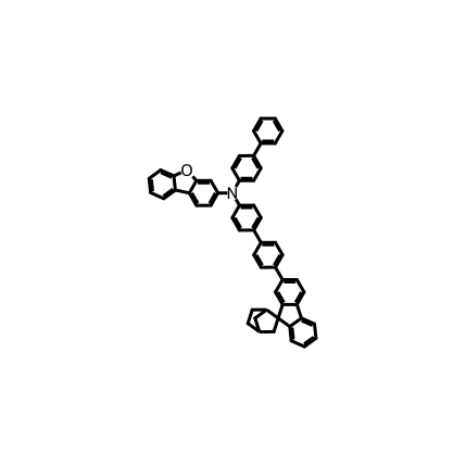 c1ccc(-c2ccc(N(c3ccc(-c4ccc(-c5ccc6c(c5)C5(CC7CCC5C7)c5ccccc5-6)cc4)cc3)c3ccc4c(c3)oc3ccccc34)cc2)cc1